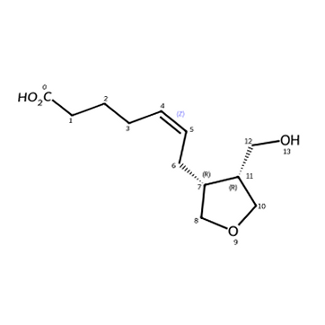 O=C(O)CCC/C=C\C[C@H]1COC[C@H]1CO